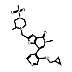 CC1CN(S(C)(=O)=O)CCN1Cc1cc2c(=O)n(C)cc(-c3ccncc3NCC3CC3)c2o1